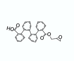 O=C(O)c1ccccc1-c1ccccc1-c1ccccc1-c1ccccc1C(=O)OCC1CO1